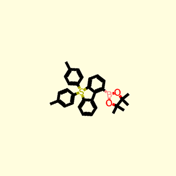 Cc1ccc(S2(c3ccc(C)cc3)c3ccccc3-c3c(B4OC(C)(C)C(C)(C)O4)cccc32)cc1